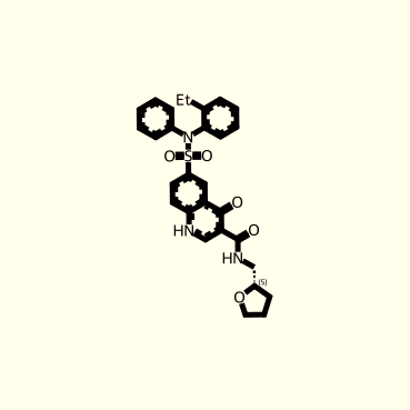 CCc1ccccc1N(c1ccccc1)S(=O)(=O)c1ccc2[nH]cc(C(=O)NC[C@@H]3CCCO3)c(=O)c2c1